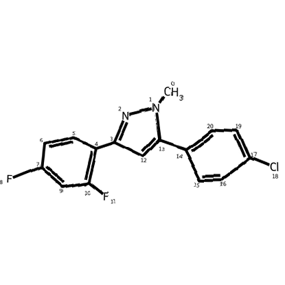 Cn1nc(-c2ccc(F)cc2F)cc1-c1ccc(Cl)cc1